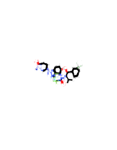 CC(C)C(NC(=O)C(F)(F)F)C(Oc1ccc2c(cnn2-c2ccc(=O)n(C)c2)c1)c1cccc(Cl)c1